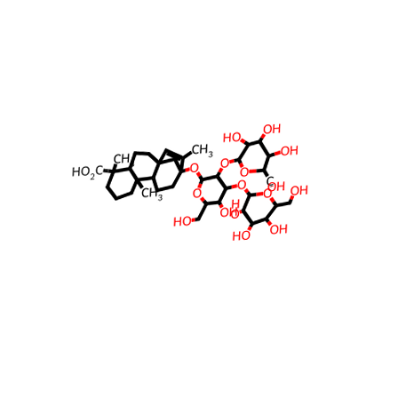 CC1=CC23CCC4C(C)(C(=O)O)CCCC4(C)C2CCC1(OC1OC(CO)C(O)C(OC2OC(CO)C(O)C(O)C2O)C1OC1OC(CO)C(O)C(O)C1O)C3